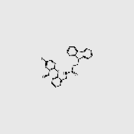 O=Cc1cc(F)cnc1Sc1ccccc1CNC(=O)OCC1c2ccccc2-c2ccccc21